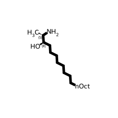 CCCCCCCCCCCCCCCC[C@@H](O)[C@H](C)N